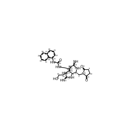 N=C1NC2[C@H](CN3C(=O)CCC3=O)NC(=N)N3CC(NC(=O)Nc4cccc5ccccc45)C(CCO)C23N1